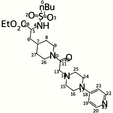 CCCCS(=O)(=O)NC(CC1CCN(C(=O)CN2CCN(c3ccncc3)CC2)CC1)C(=O)OCC